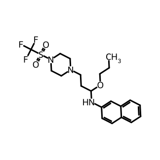 CCCOC(CCN1CCN(S(=O)(=O)C(F)(F)F)CC1)Nc1ccc2ccccc2c1